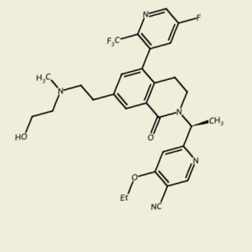 CCOc1cc([C@H](C)N2CCc3c(cc(CCN(C)CCO)cc3-c3cc(F)cnc3C(F)(F)F)C2=O)ncc1C#N